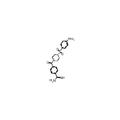 N=C(N)c1ccc(C(=O)N2CCN(S(=O)(=O)c3ccc(N)cc3)CC2)cc1